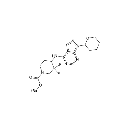 CC(C)(C)OC(=O)N1CCC(Nc2ncnc3c2cnn3C2CCCCO2)C(F)(F)C1